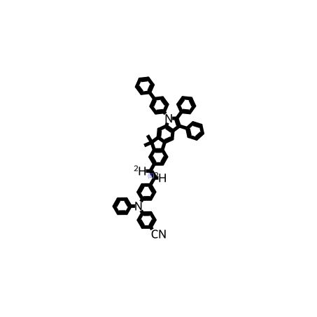 [2H]/C(=C(/[2H])c1ccc2c(c1)C(C)(C)c1cc3c(cc1-2)c(-c1ccccc1)c(-c1ccccc1)n3-c1ccc(-c2ccccc2)cc1)c1ccc(N(c2ccccc2)c2ccc(C#N)cc2)cc1